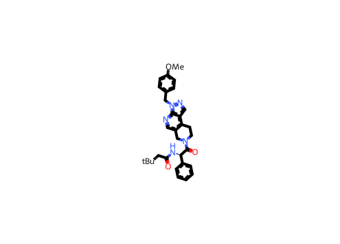 COc1ccc(Cn2ncc3c4c(cnc32)CN(C(=O)[C@@H](NC(=O)CC(C)(C)C)c2ccccc2)CC4)cc1